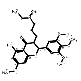 CCN(C)CCCC1C(=O)c2c(O)cc(OC)cc2OC1c1cc(OC)c(OC)c(OC)c1